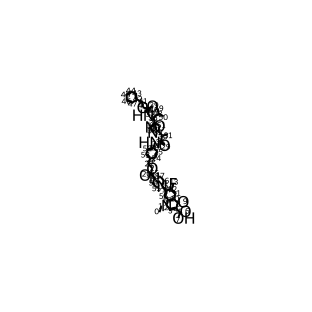 CCn1cc(C(=O)O)c(=O)c2cc(F)c(N3CCN(C(=O)OCc4ccc(NC(=O)C(C)c5nnc(C(NC(=O)OCc6ccccc6)C(C)C)o5)cc4)CC3)cc21